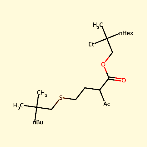 CCCCCCC(C)(CC)COC(=O)C(CCSCC(C)(C)CCCC)C(C)=O